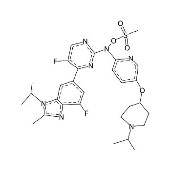 Cc1nc2c(F)cc(-c3nc(N(OS(C)(=O)=O)c4ccc(OC5CCN(C(C)C)CC5)cn4)ncc3F)cc2n1C(C)C